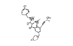 C[C@H](O)C#Cc1cc(CN2CCOCC2)cc2c(=O)c(C(=O)NCc3ccc(Cl)cc3)cn(C)c12